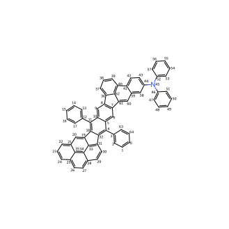 c1ccc(-c2c3cc4c(cc3c(-c3ccccc3)c3c5cc6cccc7ccc8ccc(c23)c5c8c76)c2cccc3c5ccc(N(c6ccccc6)c6ccccc6)cc5cc4c32)cc1